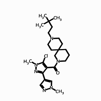 Cn1cc(-c2nn(C)c(Cl)c2C(=O)N2CCCC3(CCN(CCC(C)(C)C)CC3)C2)cn1